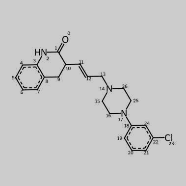 O=C1Nc2ccccc2CC1C=CCN1CCN(c2cccc(Cl)c2)CC1